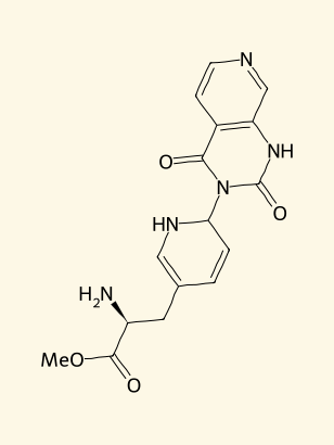 COC(=O)[C@@H](N)CC1=CNC(n2c(=O)[nH]c3cnccc3c2=O)C=C1